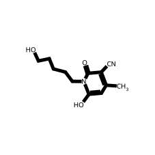 Cc1cc(O)n(CCCCCO)c(=O)c1C#N